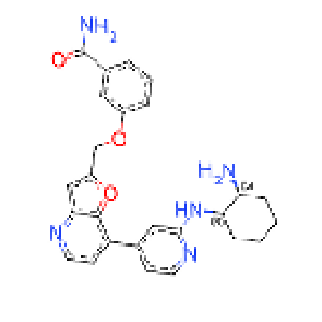 NC(=O)c1cccc(OCc2cc3nccc(-c4ccnc(N[C@@H]5CCCC[C@@H]5N)c4)c3o2)c1